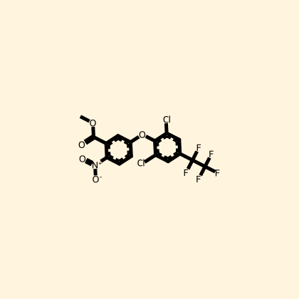 COC(=O)c1cc(Oc2c(Cl)cc(C(F)(F)C(F)(F)F)cc2Cl)ccc1[N+](=O)[O-]